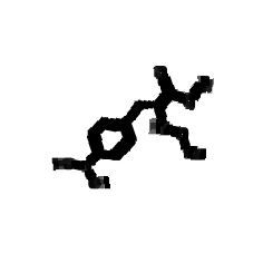 CC(C)OC(=O)[C@H](Cc1ccc(B(O)O)cc1)NOC(C)(C)C